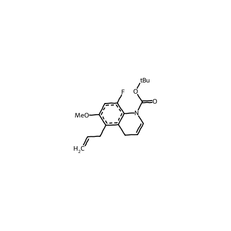 C=CCc1c(OC)cc(F)c2c1CC=CN2C(=O)OC(C)(C)C